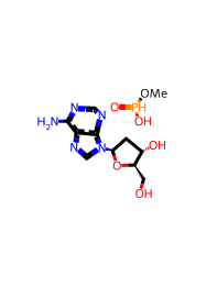 CO[PH](=O)O.Nc1ncnc2c1ncn2[C@H]1C[C@H](O)[C@@H](CO)O1